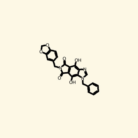 O=C1c2c(c(O)c3c(ncn3Cc3ccccc3)c2O)C(=O)N1Cc1ccc2c(c1)OCO2